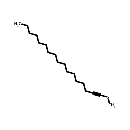 CCCCCCCCCCCCCCCC#CSC